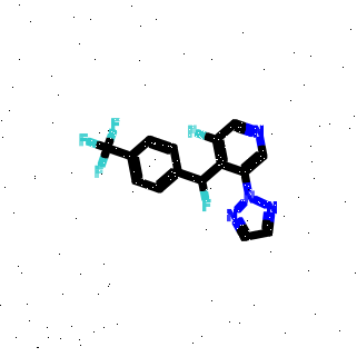 Fc1cncc(-n2nccn2)c1C(F)c1ccc(C(F)(F)F)cc1